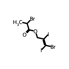 CC(Br)C(=O)OCC(I)=C(Br)I